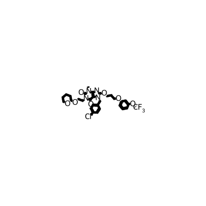 Cn1c(=O)n(CCOC2CCCCO2)c(=O)c2c1nc(OCCCOC1=C=C=CC(OC(F)(F)F)=C1)n2Cc1ccc(Cl)cc1